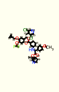 COc1ccc(C(Nc2cccc(C(=O)O[C@@H](Cc3c(Cl)cncc3Cl)c3ccc(OC(F)F)c(OCC4CC4)c3)c2)C(=O)O[C@H]2CN3CCC2CC3)cc1